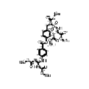 CC(C)(C)OC(=O)C[C@H](NS(=O)(=O)N(Cc1ccc(OC(=O)c2ccc(NC(=NC(=O)OC(C)(C)C)NC(=O)OC(C)(C)C)cc2)cc1)C(=O)OC(C)(C)C)C(=O)OC(C)(C)C